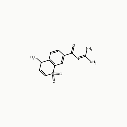 CC1C=CS(=O)(=O)c2cc(C(=O)N=C(N)N)ccc21